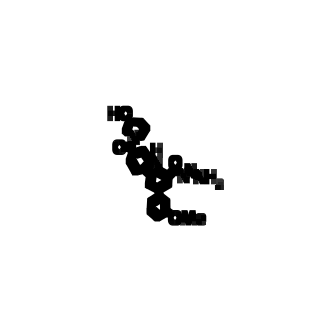 COc1cccc(-c2cc(C(=O)N=NN)c3[nH]c4cc(C(=O)N5CCC[C@@H](O)C5)ccc4c3c2)c1